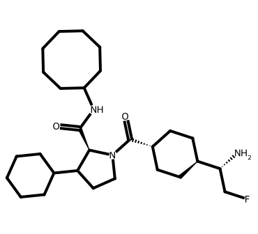 N[C@H](CF)[C@H]1CC[C@H](C(=O)N2CCC(C3CCCCC3)[C@H]2C(=O)NC2CCCCCCC2)CC1